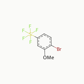 COc1cc(S(F)(F)(F)(F)F)ccc1Br